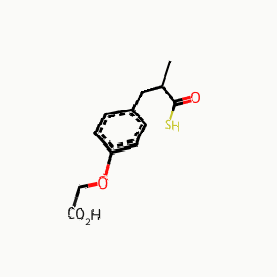 CC(Cc1ccc(OCC(=O)O)cc1)C(=O)S